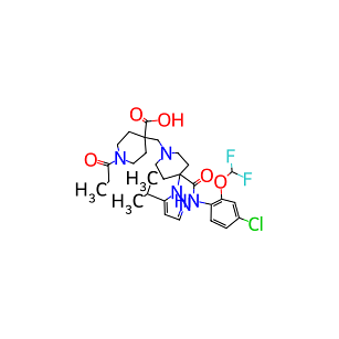 CCC(=O)N1CCC(CN2CCC(C(=O)Nc3ccc(Cl)cc3OC(F)F)(n3nccc3C(C)C)CC2)(C(=O)O)CC1